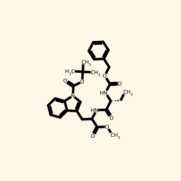 CC[C@@H](NC(=O)OCc1ccccc1)C(=O)NC(Cc1cn(C(=O)OC(C)(C)C)c2ccccc12)C(=O)OC